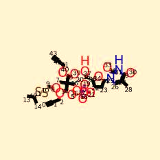 C#CCOC(=O)C(COCSSC(C)C)(COP(=O)(OC)OC1C[C@H](n2cc(C)c(=O)[nH]c2=O)O[C@@H]1CO)C(=O)OCC#C